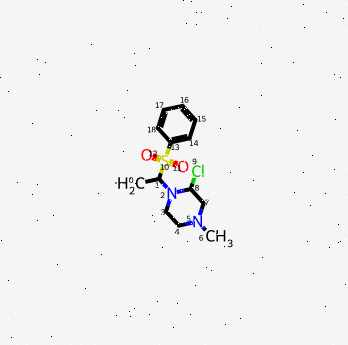 [CH2]C(N1CCN(C)CC1Cl)S(=O)(=O)c1ccccc1